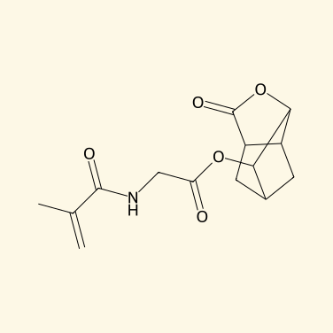 C=C(C)C(=O)NCC(=O)OC1C2CC3C(=O)OC1C3C2